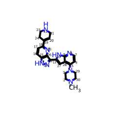 CN1CCN(c2ccnc3[nH]c(-c4n[nH]c5ccc(C6=CCNCC6)nc45)cc23)CC1